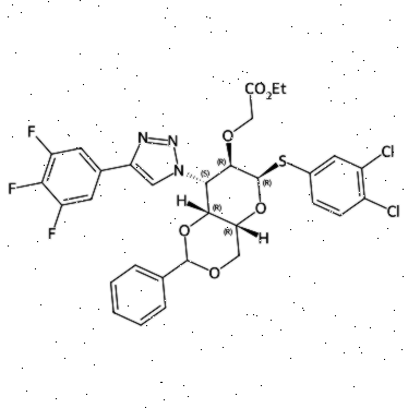 CCOC(=O)CO[C@@H]1[C@@H](n2cc(-c3cc(F)c(F)c(F)c3)nn2)[C@H]2OC(c3ccccc3)OC[C@H]2O[C@@H]1Sc1ccc(Cl)c(Cl)c1